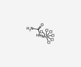 NC(=O)[NH][Mo]([Cl])([Cl])([Cl])([Cl])([Cl])[Cl]